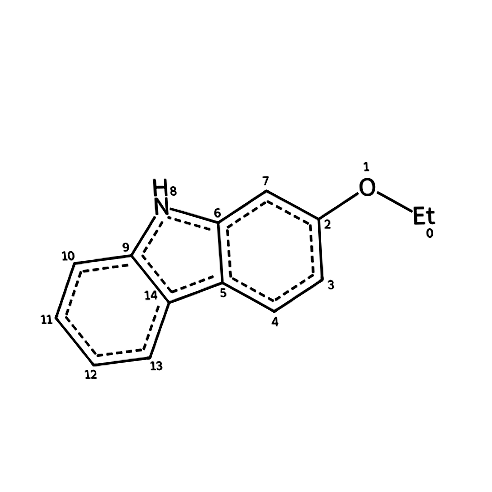 [CH2]COc1ccc2c(c1)[nH]c1ccccc12